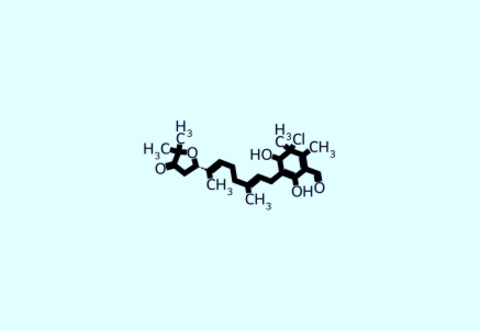 CC1=C(C=O)C(O)=C(C/C=C(\C)CC/C=C(\C)[C@@H]2CC(=O)C(C)(C)O2)C(O)C1(C)Cl